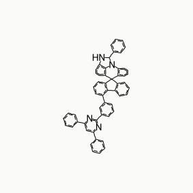 c1ccc(-c2cc(-c3ccccc3)nc(-c3cccc(-c4cccc5c4-c4ccccc4C54c5ccccc5N5c6c(cccc64)NC5c4ccccc4)c3)n2)cc1